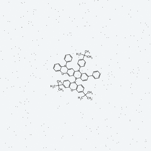 CC(C)(C)c1ccc(N2c3cc(-c4ccccc4)ccc3B(N3c4ccc(C(C)(C)C)cc4Oc4cc(C(C)(C)C)ccc43)c3cc4c(cc32)N(c2ccccc2)c2ccccc2O4)cc1